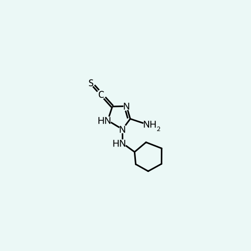 NC1=NC(=C=S)NN1NC1CCCCC1